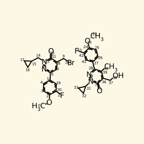 COc1ccc(-c2cc(CBr)c(=O)n(CC3CC3)n2)cc1F.COc1ccc(-c2nn(C3CC3)c(=O)c(CO)c2C)cc1F